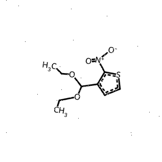 CCOC(OCC)c1ccsc1[N+](=O)[O-]